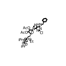 CCOP(=O)(CC[C@H]1O[C@@H](n2cnc3c(NCc4ccccc4)nc(Cl)nc32)[C@H](OC(C)=O)[C@@H]1OC(C)=O)CP(=O)(OC(C)C)OC(C)C